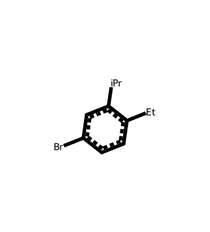 CCc1ccc(Br)cc1C(C)C